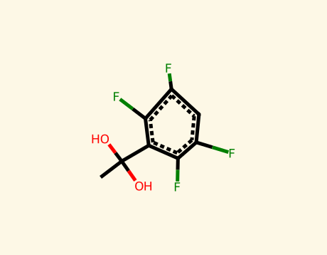 CC(O)(O)c1c(F)c(F)cc(F)c1F